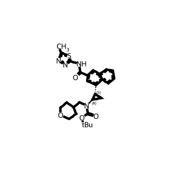 Cc1nnc(NC(=O)c2cc([C@@H]3C[C@H]3N(CC3CCOCC3)C(=O)OC(C)(C)C)c3ccccc3c2)s1